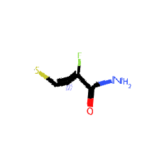 NC(=O)/C(F)=C/[S]